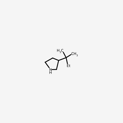 CCC(C)(C)C1CCNC1